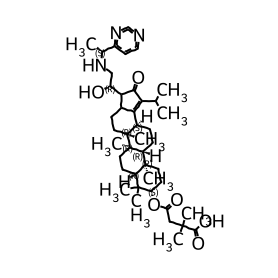 CC(C)C1=C2C(CC[C@]3(C)[C@@H]2CC[C@@H]2[C@@]4(C)CC[C@H](OC(=O)CC(C)(C)C(=O)O)C(C)(C)[C@@H]4CC[C@]23C)C([C@@H](O)CN[C@@H](C)c2ccncn2)C1=O